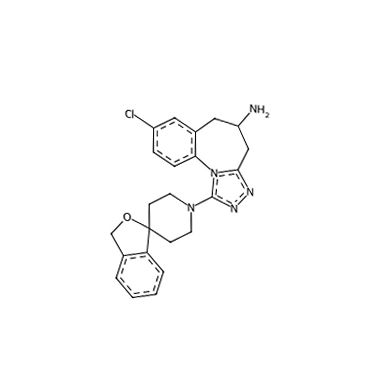 NC1Cc2cc(Cl)ccc2-n2c(nnc2N2CCC3(CC2)OCc2ccccc23)C1